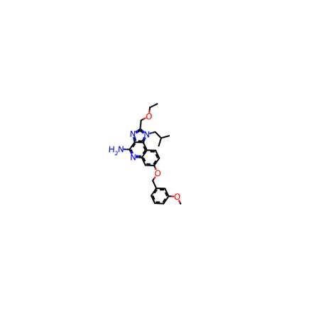 CCOCc1nc2c(N)nc3cc(OCc4cccc(OC)c4)ccc3c2n1CC(C)C